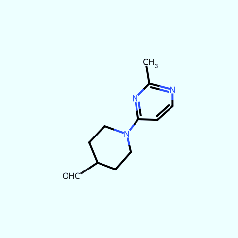 Cc1nccc(N2CCC(C=O)CC2)n1